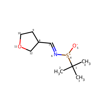 CC(C)(C)[S+]([O-])/N=C/C1CCOC1